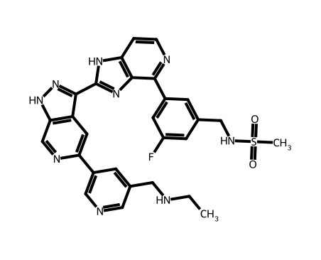 CCNCc1cncc(-c2cc3c(-c4nc5c(-c6cc(F)cc(CNS(C)(=O)=O)c6)nccc5[nH]4)n[nH]c3cn2)c1